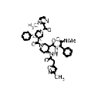 CNC(=O)[C@@H](NC(=O)C1CN(C(=O)[C@@H]2CN(C(=O)c3nccn3C)C[C@H]2c2ccccc2)CC[C@@H]1NC(=O)Cc1cc(C)no1)c1ccccc1